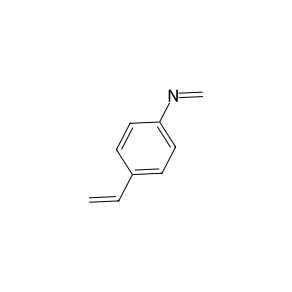 C=Cc1ccc(N=C)cc1